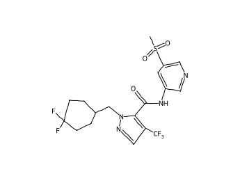 CS(=O)(=O)c1cncc(NC(=O)c2c(C(F)(F)F)cnn2CC2CCC(F)(F)CC2)c1